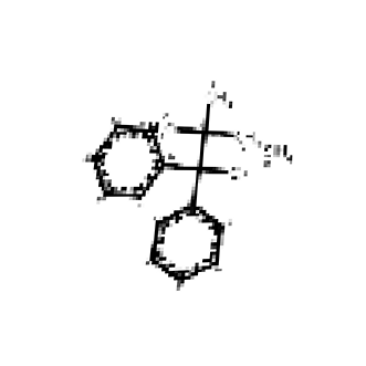 CC(C)(C)C(Cl)(c1ccccc1)c1ccccc1.[SiH4]